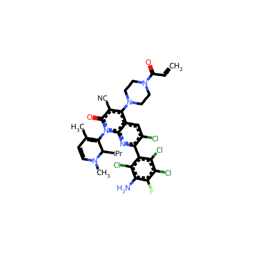 C=CC(=O)N1CCN(c2c(C#N)c(=O)n(C3=C(C)C=CN(C)C3C(C)C)c3nc(-c4c(Cl)c(N)c(F)c(Cl)c4Cl)c(Cl)cc23)CC1